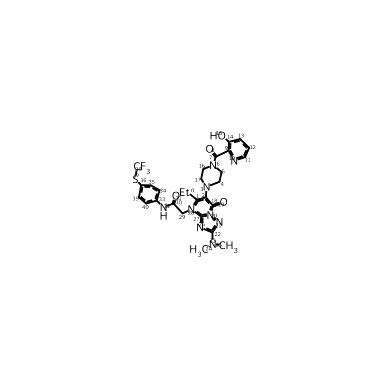 CCc1c(N2CCN(C(=O)c3ncccc3O)CC2)c(=O)n2nc(N(C)C)nc2n1CC(=O)Nc1ccc(SC(F)(F)F)cc1